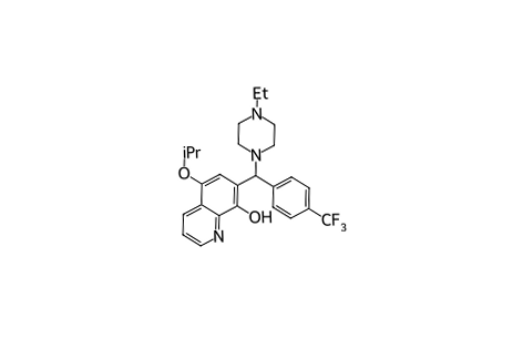 CCN1CCN(C(c2ccc(C(F)(F)F)cc2)c2cc(OC(C)C)c3cccnc3c2O)CC1